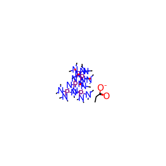 CCC(=O)[O-].CN(C)P(=N[P+](N=P(N(C)C)(N(C)C)N(C)C)(N=P(N(C)C)(N(C)C)N(C)C)N=P(N(C)C)(N(C)C)N(C)C)(N(C)C)N(C)C